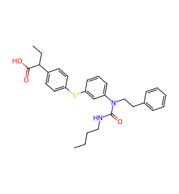 CCCCNC(=O)N(CCc1ccccc1)c1cccc(Sc2ccc(C(CC)C(=O)O)cc2)c1